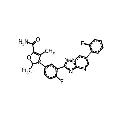 CC1=C(C(N)=O)OC(C)N1c1ccc(F)c(-c2nc3ncc(-c4ccccc4F)cn3n2)c1